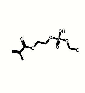 C=C(C)C(=O)OCCOP(=O)(O)OCCl